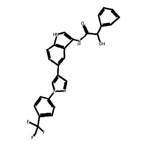 O=C(Nc1c[nH]c2ccc(-c3cnn(-c4ccc(C(F)(F)F)cc4)c3)cc12)C(O)c1ccccc1